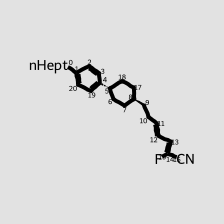 CCCCCCCc1ccc([C@H]2CC[C@H](CCC=CC=C(F)C#N)CC2)cc1